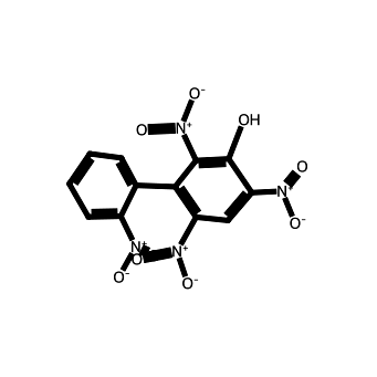 O=[N+]([O-])c1ccccc1-c1c([N+](=O)[O-])cc([N+](=O)[O-])c(O)c1[N+](=O)[O-]